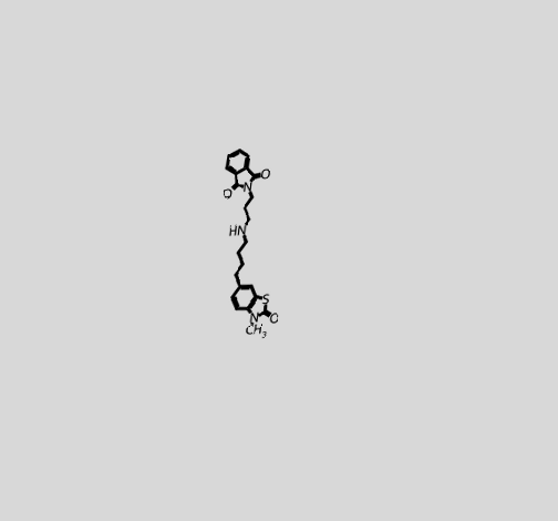 Cn1c(=O)sc2cc(CCCCNCCCN3C(=O)c4ccccc4C3=O)ccc21